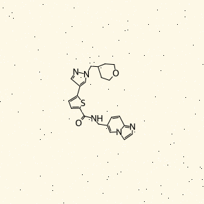 O=C(NCc1ccc2nccn2c1)c1ccc(-c2cnn(CC3CCOCC3)c2)s1